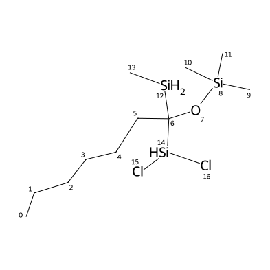 CCCCCCC(O[Si](C)(C)C)([SiH2]C)[SiH](Cl)Cl